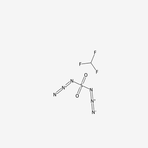 FC(F)F.[N-]=[N+]=NS(=O)(=O)N=[N+]=[N-]